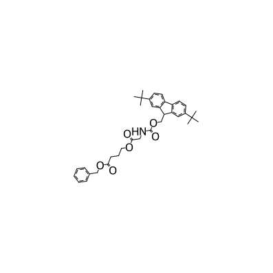 CC(C)(C)c1ccc2c(c1)C(COC(=O)NCC(=O)OCCCC(=O)OCc1ccccc1)c1cc(C(C)(C)C)ccc1-2